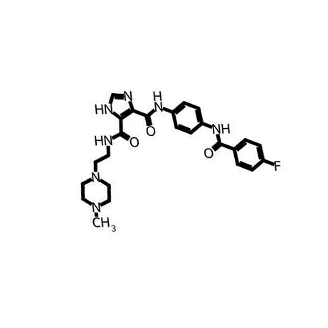 CN1CCN(CCNC(=O)c2[nH]cnc2C(=O)Nc2ccc(NC(=O)c3ccc(F)cc3)cc2)CC1